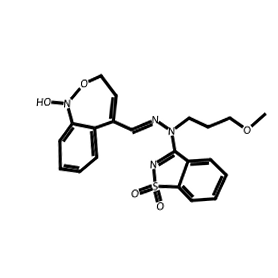 COCCCN(/N=C/C1=CCON(O)c2ccccc21)C1=NS(=O)(=O)c2ccccc21